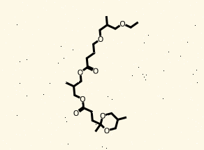 CCOCC(C)COCCCC(=O)OCC(C)COC(=O)CCC1(C)OCC(C)CO1